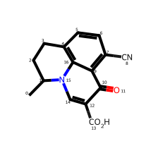 CC1CCc2ccc(C#N)c3c(=O)c(C(=O)O)cn1c23